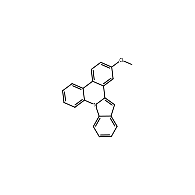 COc1ccc2c3ccccc3n3c4ccccc4cc3c2c1